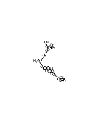 CCCC(OCCCO[C@H]1CC[C@H]2[C@@H]3CCc4cc(OCCN(C)CCCSSCCOOP(OCCC#N)N(C(C)C)C(C)C)ccc4[C@H]3CC[C@]12C)(C(F)(F)F)C(F)(F)F